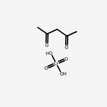 CC(=O)CC(C)=O.[O]=[Cr](=[O])([OH])[OH]